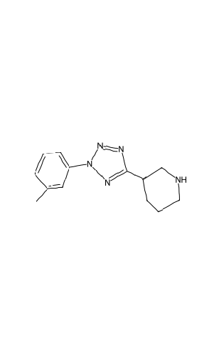 Cc1cccc(-n2nnc(C3CCCNC3)n2)c1